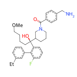 CCc1cccc(-c2c(F)cccc2[C@](O)(CCCCOC)C2CCCN(C(=O)c3ccc(CN)cc3)C2)c1